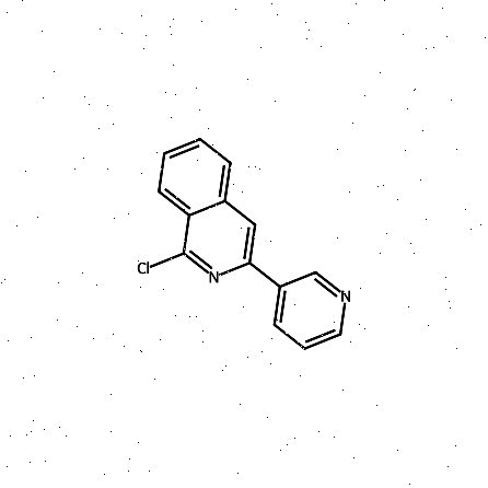 Clc1nc(-c2cccnc2)cc2ccccc12